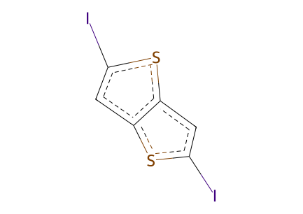 Ic1cc2sc(I)cc2s1